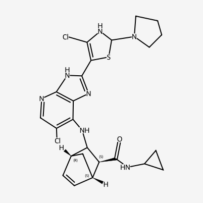 O=C(NC1CC1)[C@@H]1C(Nc2c(Cl)cnc3[nH]c(C4=C(Cl)NC(N5CCCC5)S4)nc23)[C@H]2C=C[C@@H]1C2